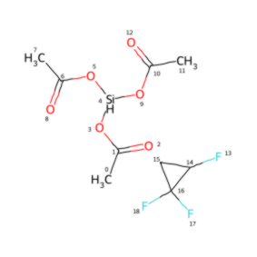 CC(=O)O[SiH](OC(C)=O)OC(C)=O.FC1CC1(F)F